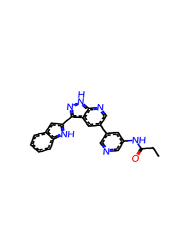 CCC(=O)Nc1cncc(-c2cnc3[nH]nc(-c4cc5ccccc5[nH]4)c3c2)c1